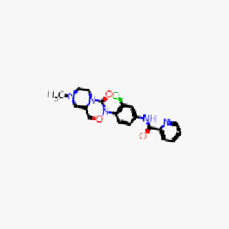 CN1CCN2C(=O)N(c3ccc(NC(=O)c4ccccn4)cc3Cl)OCC2C1